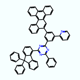 c1ccc(-c2nc(-c3cc(-c4ccccn4)cc(-c4cc5c6ccccc6c6ccccc6c5c5ccccc45)c3)nc(-c3cccc4c3-c3ccccc3C4(c3ccccc3)c3ccccc3)n2)cc1